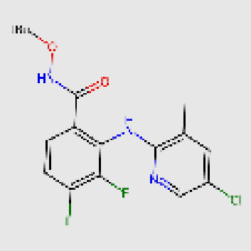 Cc1cc(Cl)cnc1Nc1c(C(=O)NOC(C)(C)C)ccc(F)c1F